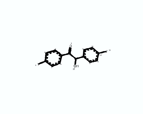 O=C(c1ccc(I)cc1)C(O)c1ccc(I)cc1